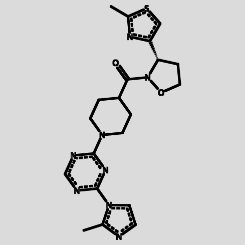 Cc1nc([C@@H]2CCON2C(=O)C2CCN(c3ncnc(-n4ccnc4C)n3)CC2)cs1